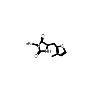 CCCCN1C(=O)NC(Cc2sccc2C)C1=O